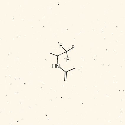 C=C(C)NC(C)C(F)(F)F